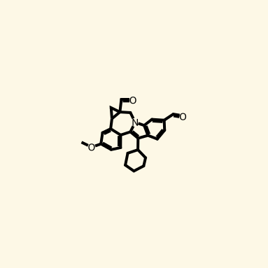 COc1ccc2c(c1)C1CC1(C=O)Cn1c-2c(C2CCCCC2)c2ccc(C=O)cc21